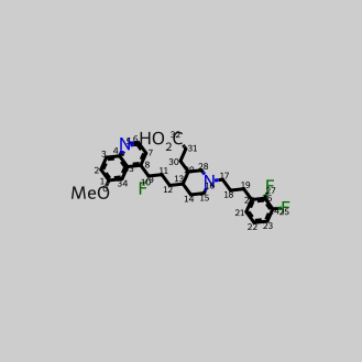 COc1ccc2nccc([C@@H](F)CCC3CCN(CCCc4cccc(F)c4F)CC3CCC(=O)O)c2c1